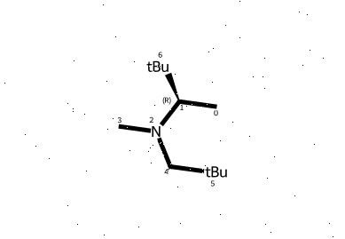 C[C@@H](N(C)CC(C)(C)C)C(C)(C)C